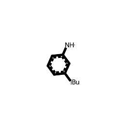 CCC(C)c1cccc([NH])c1